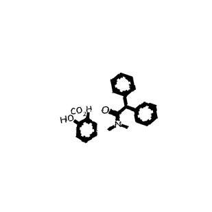 CN(C)C(=O)C(c1ccccc1)c1ccccc1.O=C(O)c1ccccc1O